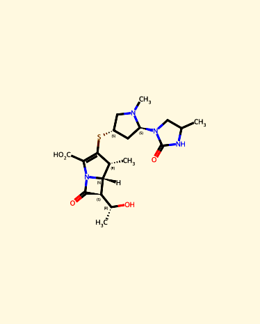 CC1CN([C@H]2C[C@H](SC3=C(C(=O)O)N4C(=O)[C@H]([C@@H](C)O)[C@H]4[C@H]3C)CN2C)C(=O)N1